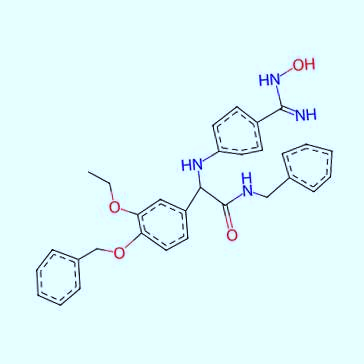 CCOc1cc(C(Nc2ccc(C(=N)NO)cc2)C(=O)NCc2ccccc2)ccc1OCc1ccccc1